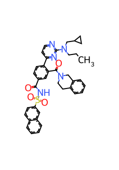 CCCN(CC1CC1)c1nccc(-c2ccc(C(=O)NS(=O)(=O)c3ccc4ccccc4c3)cc2C(=O)N2CCc3ccccc3C2)n1